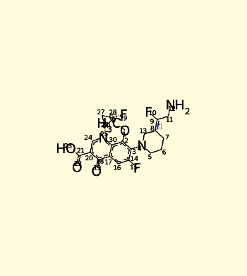 COc1c(N2CCC/C(=C(/F)CN)C2)c(F)cc2c(=O)c(C(=O)O)cn([C@@H]3C[C@@H]3F)c12